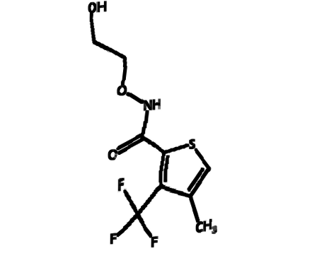 Cc1csc(C(=O)NOCCO)c1C(F)(F)F